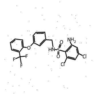 Nc1cc(Cl)cc(Cl)c1S(=O)(=O)NCc1cccc(Oc2ccccc2C(F)(F)F)c1